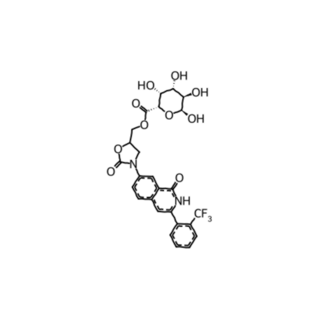 O=C(OCC1CN(c2ccc3cc(-c4ccccc4C(F)(F)F)[nH]c(=O)c3c2)C(=O)O1)[C@H]1O[C@H](O)[C@H](O)[C@@H](O)[C@H]1O